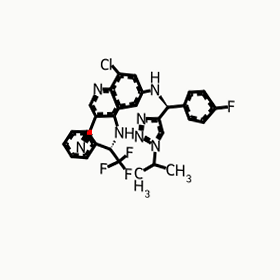 CC(C)n1cc([C@@H](Nc2cc(Cl)c3ncc(C#N)c(N[C@@H](c4ccccc4)C(F)(F)F)c3c2)c2ccc(F)cc2)nn1